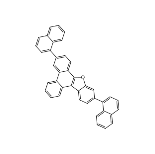 c1ccc2c(-c3ccc4c(c3)oc3c5ccc(-c6cccc7ccccc67)cc5c5ccccc5c43)cccc2c1